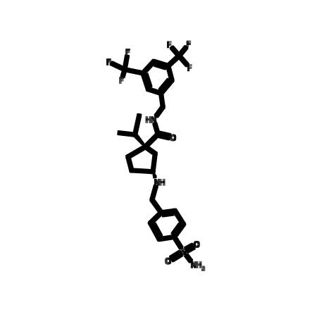 CC(C)[C@]1(C(=O)NCc2cc(C(F)(F)F)cc(C(F)(F)F)c2)CC[C@@H](NCc2ccc(S(N)(=O)=O)cc2)C1